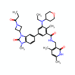 CCC(=O)N1CC(n2c(=O)n(C)c3ccc(-c4cc(C(=O)NCc5c(C)cc(C)[nH]c5=O)c(C)c(N(CC)C5CCOCC5)c4)cc32)C1